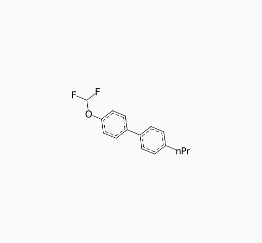 CCCc1ccc(-c2ccc(OC(F)F)cc2)cc1